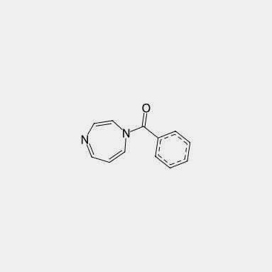 O=C(c1ccccc1)N1C=CC=NC=C1